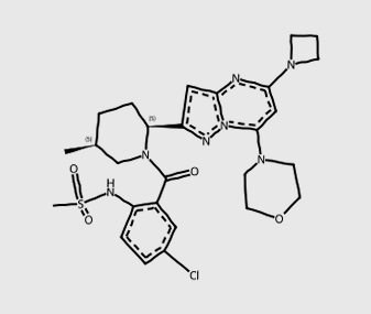 C[C@H]1CC[C@@H](c2cc3nc(N4CCC4)cc(N4CCOCC4)n3n2)N(C(=O)c2cc(Cl)ccc2NS(C)(=O)=O)C1